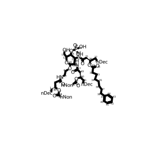 CCCCCCCCCCC[C@H](CC(=O)NCCOC1OC(CO)C(OP(=O)(O)O)C(NC(=O)C[C@@H](CCCCCCCCCCC)OC(=O)CCCCCCCc2ccccc2)C1NC(=O)C[C@@H](CCCCCCCCCCC)OC(=O)CCCCCCCCC)OC(=O)CCCCCCCCC